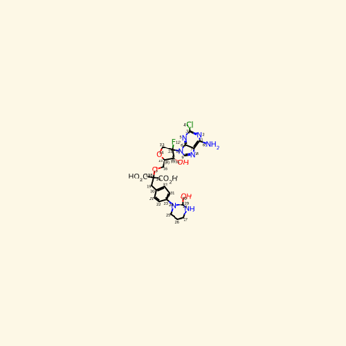 Nc1nc(Cl)nc2c1ncn2C1(F)CO[C@H](COC(Cc2ccc(N3CCCNC3O)cc2)(C(=O)O)C(=O)O)[C@H]1O